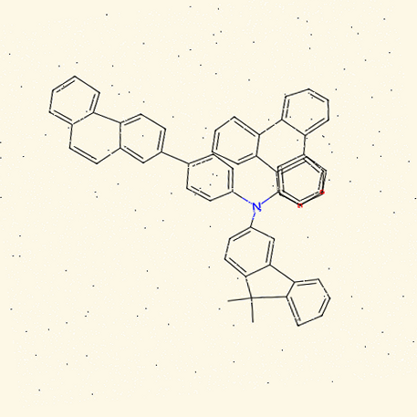 CC1(C)c2ccccc2-c2cc(N(c3ccc(-c4ccc5c(ccc6ccccc65)c4)cc3)c3ccccc3-c3ccccc3-c3ccccc3-c3ccccc3)ccc21